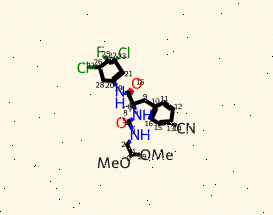 COC(CNC(=O)N[C@](C)(Cc1ccc(C#N)cc1)C(=O)NC1=CC(Cl)=C(F)C(Cl)C1)OC